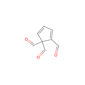 O=[C]C1=CC=CC1([C]=O)[C]=O